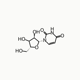 O=c1ccn([C@@H]2O[C@H](CO)C(O)[C@H]2O)c(=O)[nH]1